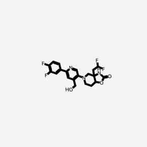 O=C1NC2(CC(F)F)CN(c3cnc(-c4ccc(F)c(F)c4)cc3CO)CCC2O1